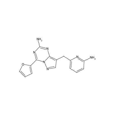 Nc1cccc(Cc2cnn3c(-c4ccco4)nc(N)nc23)n1